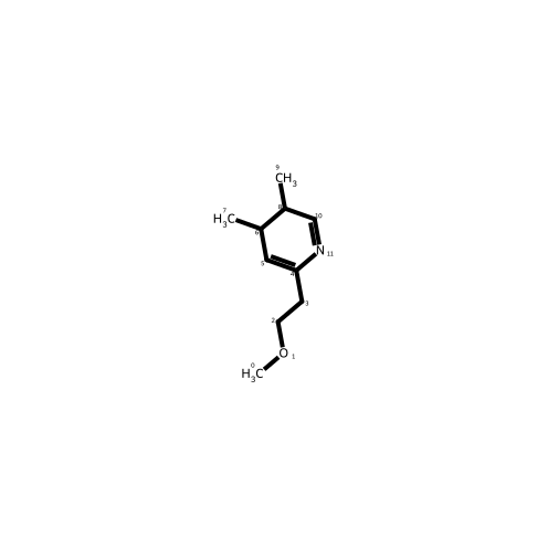 COCCC1=CC(C)C(C)C=N1